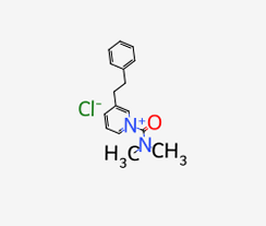 CN(C)C(=O)[n+]1cccc(CCc2ccccc2)c1.[Cl-]